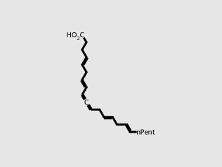 CCCCCC=CCC=CCC=C=CC=CCC=CCCC(=O)O